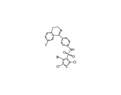 O=S(=O)(Nc1ccc(C2=NCCc3ccc(F)cc32)cc1)c1c(Cl)sc(Cl)c1Br